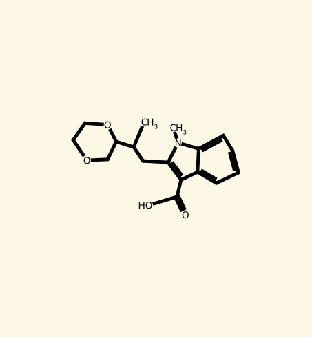 CC(Cc1c(C(=O)O)c2ccccc2n1C)C1COCCO1